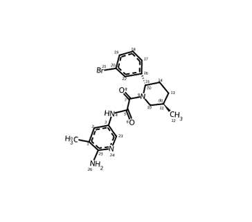 Cc1cc(NC(=O)C(=O)N2C[C@H](C)CC[C@H]2c2cccc(Br)c2)cnc1N